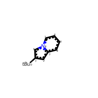 CC(C)(C)c1cc2ccccn2c1